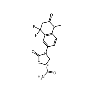 CN1C(=O)CC(F)(F)c2cc(N3C[C@H](C(N)=O)OC3=O)ccc21